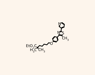 CCOC(=O)C(C)(C)CCCCCOc1ccc(-c2nc(-c3cccnc3)sc2C)cc1